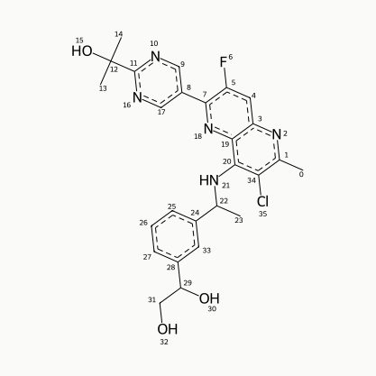 Cc1nc2cc(F)c(-c3cnc(C(C)(C)O)nc3)nc2c(NC(C)c2cccc(C(O)CO)c2)c1Cl